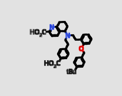 CC(C)(C)c1ccc(COc2ccccc2CCN(CCc2ccc(C(=O)O)cc2)C2CCCc3nc(C(=O)O)ccc32)cc1